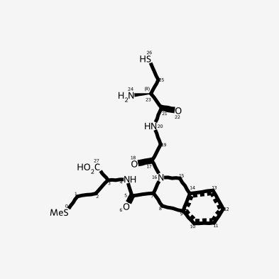 CSCCC(NC(=O)C1Cc2ccccc2CN1C(=O)CNC(=O)[C@@H](N)CS)C(=O)O